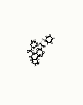 CC(C)CN(C[C@@H](O)[C@H](Cc1ccccc1)NC(=O)OC(C)(C)C)C(=O)c1ccc2ncsc2c1